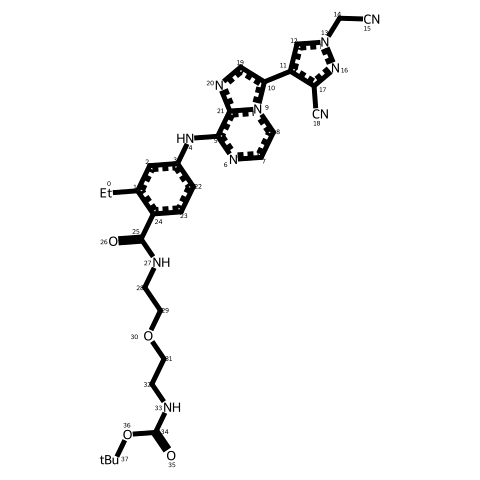 CCc1cc(Nc2nccn3c(-c4cn(CC#N)nc4C#N)cnc23)ccc1C(=O)NCCOCCNC(=O)OC(C)(C)C